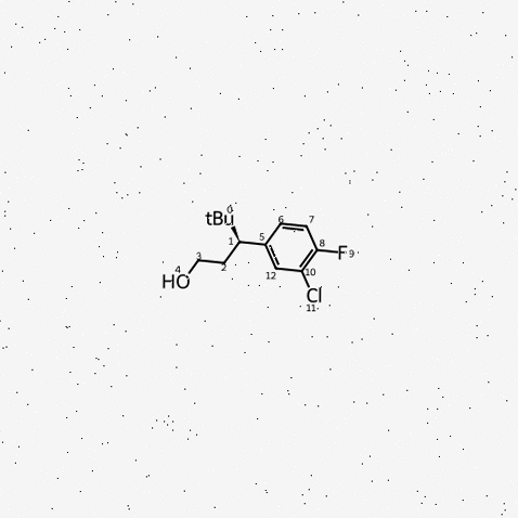 CC(C)(C)[C@H](CCO)c1ccc(F)c(Cl)c1